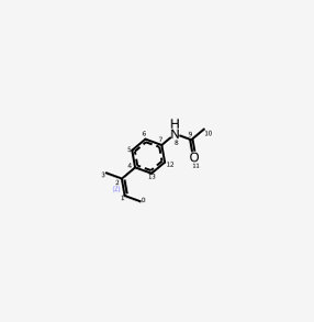 C/C=C(/C)c1ccc(NC(C)=O)cc1